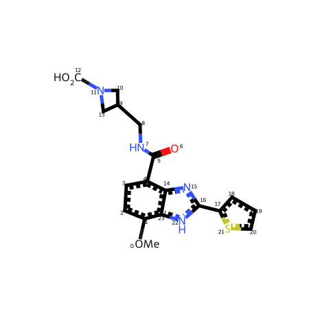 COc1ccc(C(=O)NCC2CN(C(=O)O)C2)c2nc(-c3cccs3)[nH]c12